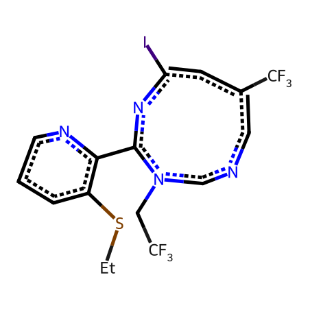 CCSc1cccnc1-c1nc(I)cc(C(F)(F)F)cncn1CC(F)(F)F